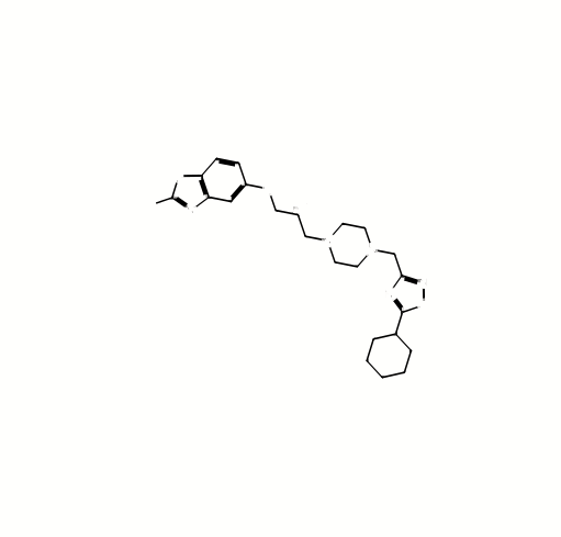 Cc1nc2cc(OC[C@H](O)CN3CCN(Cc4noc(C5CCCCC5)n4)CC3)ccc2s1